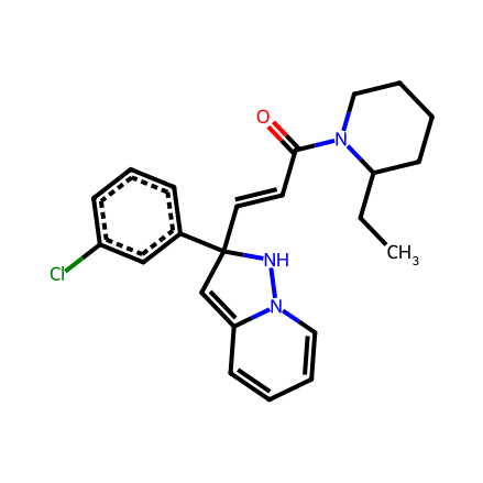 CCC1CCCCN1C(=O)C=CC1(c2cccc(Cl)c2)C=C2C=CC=CN2N1